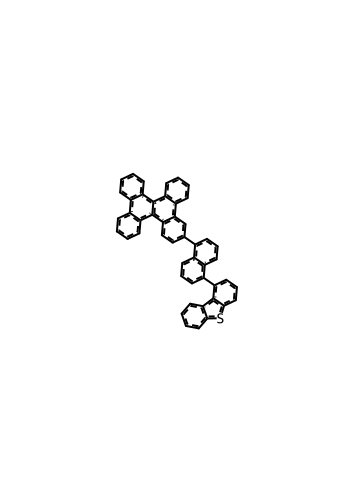 c1ccc2c(c1)sc1cccc(-c3cccc4c(-c5ccc6c(c5)c5ccccc5c5c7ccccc7c7ccccc7c65)cccc34)c12